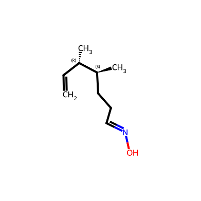 C=C[C@H](C)[C@@H](C)CCC=NO